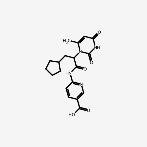 Cc1cc(=O)[nH]c(=O)n1C(CC1CCCC1)C(=O)Nc1ccc(C(=O)O)cn1